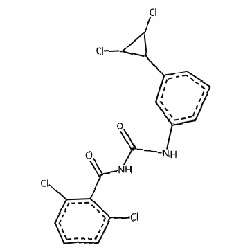 O=C(NC(=O)c1c(Cl)cccc1Cl)Nc1cccc(C2C(Cl)C2Cl)c1